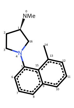 CN[C@@H]1CCN(c2cccc3cccc(C)c23)C1